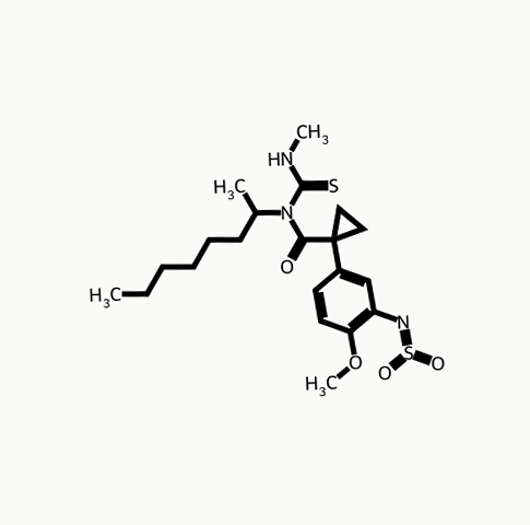 CCCCCCC(C)N(C(=O)C1(c2ccc(OC)c(N=S(=O)=O)c2)CC1)C(=S)NC